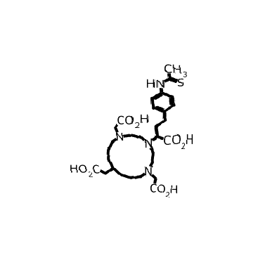 CC(=S)Nc1ccc(CCC(C(=O)O)N2CCN(CC(=O)O)CCCC(CC(=O)O)CCCN(CC(=O)O)CC2)cc1